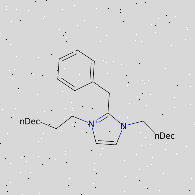 CCCCCCCCCCCC[n+]1ccn(CCCCCCCCCCC)c1Cc1ccccc1